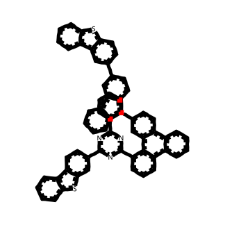 c1ccc(-c2nc(-c3ccc4c(c3)sc3ccccc34)nc(-c3cccc4c5ccccc5c5ccc(-n6c7ccccc7c7cc(-c8ccc9sc%10ccccc%10c9c8)ccc76)cc5c34)n2)cc1